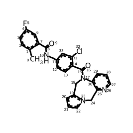 Cc1ccc(F)cc1C(=O)Nc1ccc(C(=O)N2Cc3cccn3Cc3ncccc32)c(Cl)c1